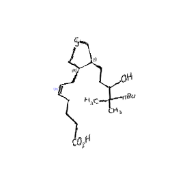 CCCCC(C)(C)C(O)CC[C@@H]1CSC[C@@H]1C/C=C\CCCC(=O)O